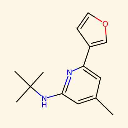 Cc1cc(NC(C)(C)C)nc(-c2ccoc2)c1